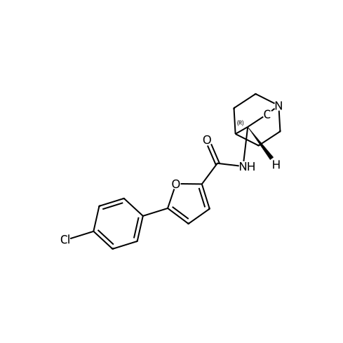 O=C(N[C@H]1CN2CCC1CC2)c1ccc(-c2ccc(Cl)cc2)o1